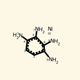 Nc1ccc(N)c(N)c1N.[Ni]